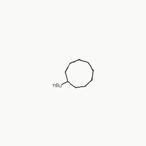 CCC[CH]C1CCCCCCCC1